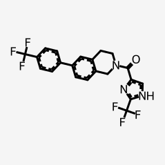 O=C(c1c[nH]c(C(F)(F)F)n1)N1CCc2cc(-c3ccc(C(F)(F)F)cc3)ccc2C1